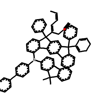 C#CC/C(=C\C=C/C)C1(c2ccccc2)c2cc3c(cc2-c2c(N(c4ccc(-c5ccccc5)cc4)c4ccc5c(c4)C(C)(C)c4ccccc4-5)cccc21)-c1ccccc1C3(C1=CCCC=C1)c1ccccc1